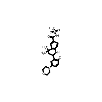 CC1(C)CC(c2cc(N3CCOCC3)ccc2Cl)Nc2ccc(C(=O)NS(C)(=O)=O)cc21